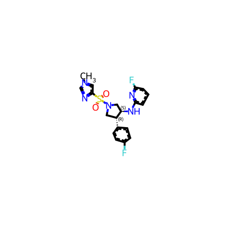 Cn1cnc(S(=O)(=O)N2C[C@@H](Nc3cccc(F)n3)[C@H](c3ccc(F)cc3)C2)c1